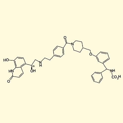 O=C(O)NC(c1ccccc1)c1cccc(OCC2CCN(C(=O)c3ccc(CCNC[C@@H](O)c4ccc(O)c5[nH]c(=O)ccc45)cc3)CC2)c1